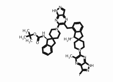 Cc1nc2c(I)n[nH]c2nc1N1CCC2(CC1)Cc1cccc(Cc3nc4cn[nH]c4nc3N3CCC4(CC3)Cc3ccccc3[C@H]4NC(=O)OC(C)(C)C)c1[C@H]2N